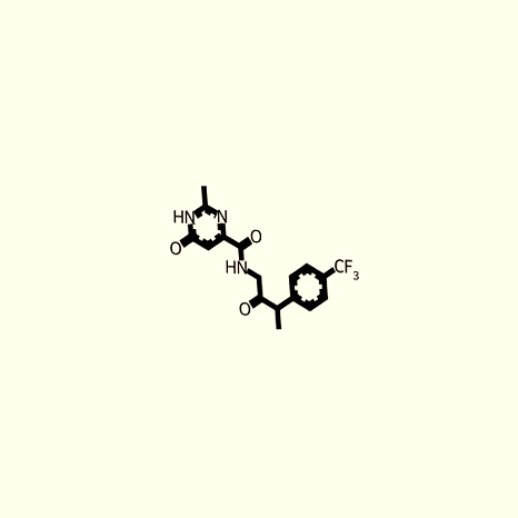 Cc1nc(C(=O)NCC(=O)C(C)c2ccc(C(F)(F)F)cc2)cc(=O)[nH]1